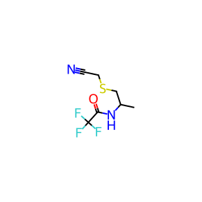 CC(CSCC#N)NC(=O)C(F)(F)F